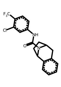 O=C(Nc1ccc(C(F)(F)F)c(Cl)c1)N1C2CCC1c1ccccc1C2